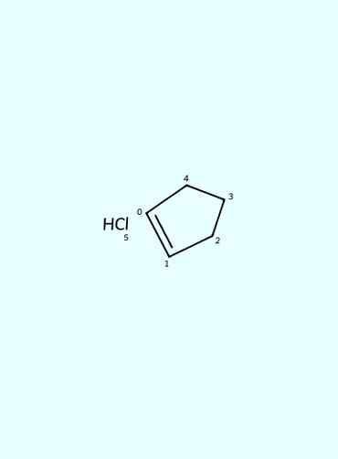 C1=CCCC1.Cl